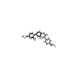 CCN(C(C)Cc1ccc(-n2ccc(N)nc2=O)cc1)[C@H]1CC[C@H](N)CC1